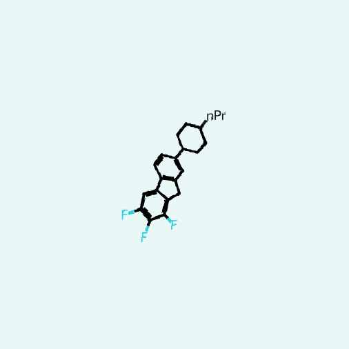 CCCC1CCC(c2ccc3c(c2)Cc2c-3cc(F)c(F)c2F)CC1